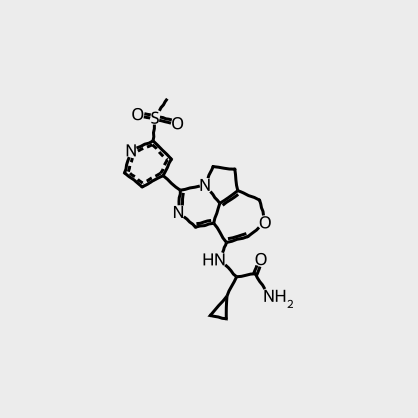 CS(=O)(=O)c1cc(C2=NC=C3C(NC(C(N)=O)C4CC4)=COCC4=C3N2CC4)ccn1